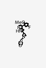 COc1ccc(F)cc1-c1ccnc2[nH]c(C3CCN(CCN4CCOCC4)C3)cc12